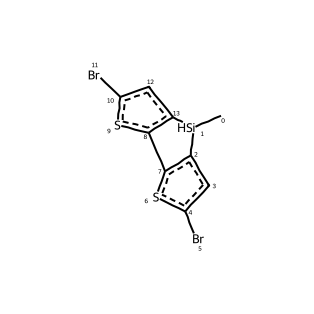 C[SiH]1c2cc(Br)sc2-c2sc(Br)cc21